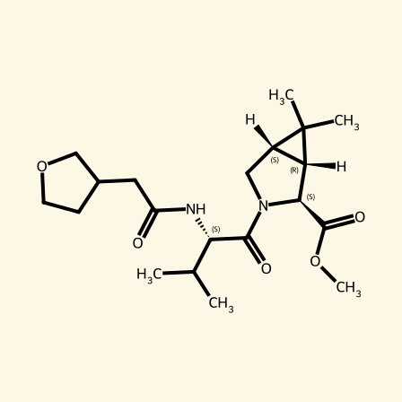 COC(=O)[C@@H]1[C@@H]2[C@H](CN1C(=O)[C@@H](NC(=O)CC1CCOC1)C(C)C)C2(C)C